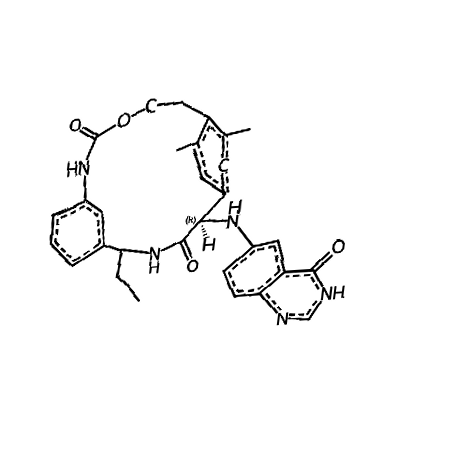 CCC1NC(=O)[C@H](Nc2ccc3nc[nH]c(=O)c3c2)c2cc(C)c(c(C)c2)CCOC(=O)Nc2cccc1c2